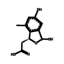 Cc1cc(O)cc2c1[C@@H](CC(=O)O)OB2O